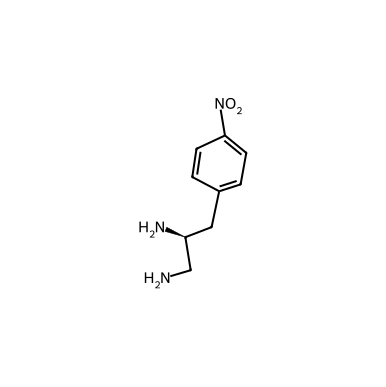 NC[C@@H](N)Cc1ccc([N+](=O)[O-])cc1